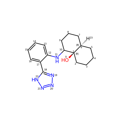 O[C@]12CCCC[C@@H]1CCCC2Nc1ccccc1-c1nnn[nH]1